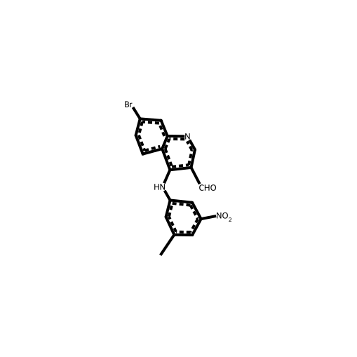 Cc1cc(Nc2c(C=O)cnc3cc(Br)ccc23)cc([N+](=O)[O-])c1